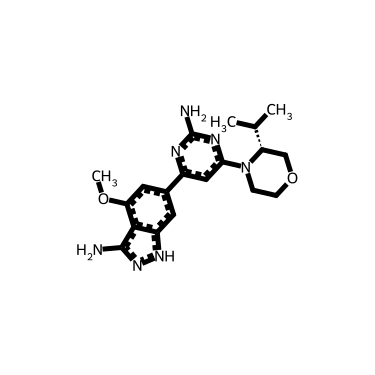 COc1cc(-c2cc(N3CCOC[C@H]3C(C)C)nc(N)n2)cc2[nH]nc(N)c12